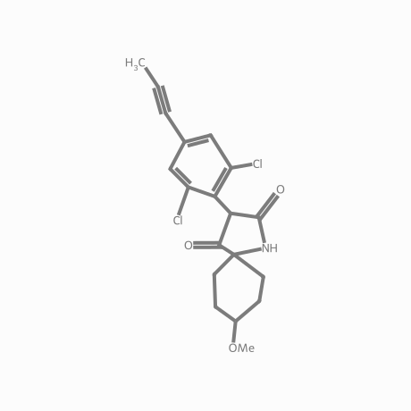 CC#Cc1cc(Cl)c(C2C(=O)NC3(CCC(OC)CC3)C2=O)c(Cl)c1